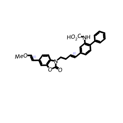 CO/C=C/c1ccc2c(c1)oc(=O)n2CC/C=C/c1ccc(-c2ccccc2)c(NC(=O)O)c1